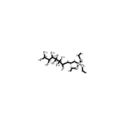 CCO[Si](CCCC(F)C(F)(F)C(F)(F)C(F)C(F)C(F)F)(OCC)OCC